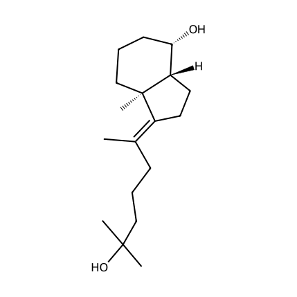 C/C(CCCC(C)(C)O)=C1/CC[C@H]2[C@@H](O)CCC[C@]12C